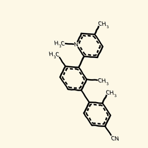 Cc1ccc(-c2c(C)ccc(-c3ccc(C#N)cc3C)c2C)[n+](C)c1